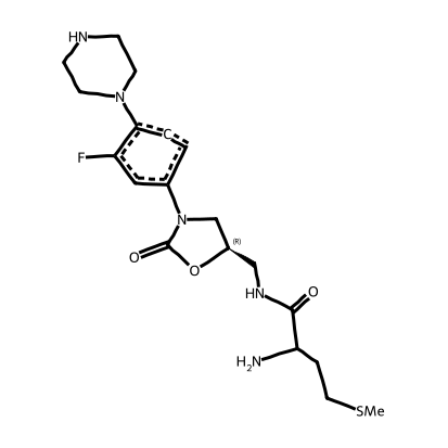 CSCCC(N)C(=O)NC[C@@H]1CN(c2ccc(N3CCNCC3)c(F)c2)C(=O)O1